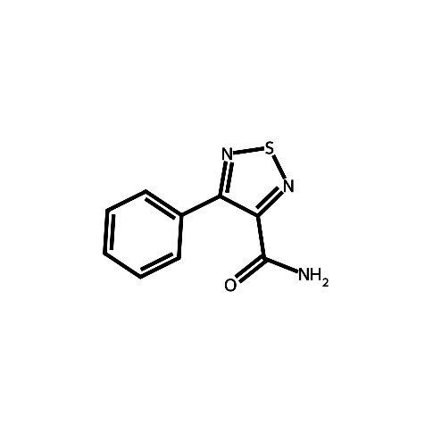 NC(=O)c1nsnc1-c1ccccc1